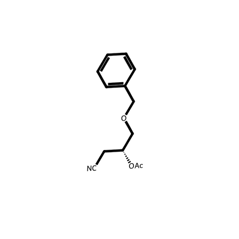 CC(=O)O[C@H](CC#N)COCc1ccccc1